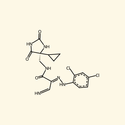 N=C/C(=N\Nc1ccc(Cl)cc1Cl)C(=O)NC[C@@]1(C2CC2)NC(=O)NC1=O